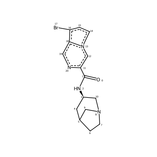 O=C(N[C@@H]1CC2CCN(C2)C1)c1cn2ccc(Br)c2cn1